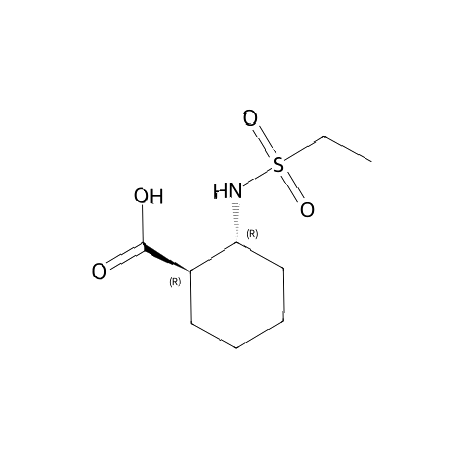 CCS(=O)(=O)N[C@@H]1CCCC[C@H]1C(=O)O